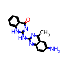 Cc1nc(Nc2nc(=O)c3ccccc3[nH]2)nc2ccc(N)cc12